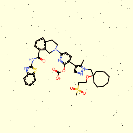 Cc1c(-c2ccc(N3CCc4cccc(C(=O)Nc5nc6ccccc6s5)c4C3)nc2OC(=O)O)cnn1CC1(OCCS(C)(=O)=O)CCCCCCC1